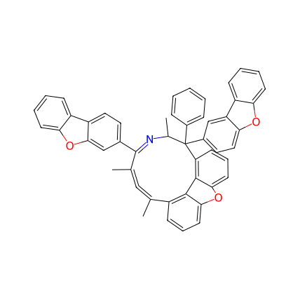 CC1=C=C(C)c2cccc3oc4cccc(c4c23)C(c2ccccc2)(c2ccc3oc4ccccc4c3c2)C(C)/N=C\1c1ccc2c(c1)oc1ccccc12